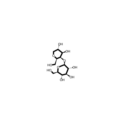 OC[C@H]1O[C@@H](O[C@@H]2[C@H](O)[C@@H](O)CO[C@@H]2CO)[C@H](O)[C@@H](O)[C@@H]1O